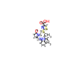 CCC(C)c1ccccc1NC[C@H]1CCC(=O)N1CCSc1nc(C(=O)O)cs1